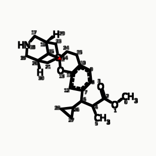 COC(=O)C(C)C(c1ccc2c(c1)OC(C1[C@@H]3CNC[C@H]1COC3)CC2)C1CC1